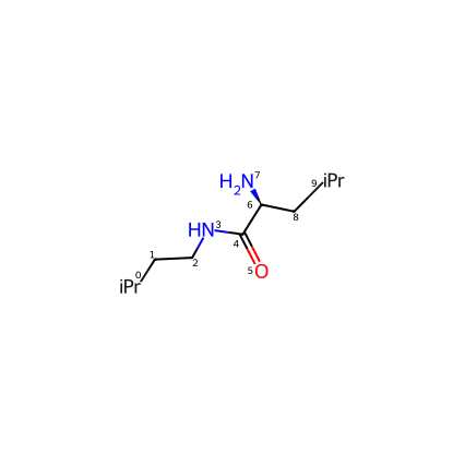 CC(C)CCNC(=O)[C@@H](N)CC(C)C